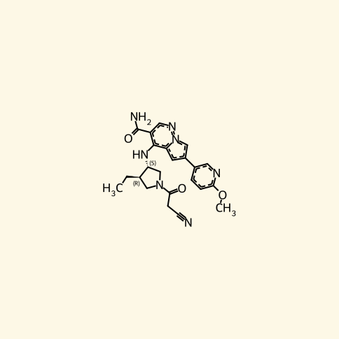 CC[C@@H]1CN(C(=O)CC#N)C[C@H]1Nc1c(C(N)=O)cnn2cc(-c3ccc(OC)nc3)cc12